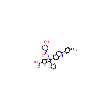 Cc1ccc(-c2ccc3cc(-c4c(-c5ccccc5)c5sc(C(=O)O)cc5n4CC(=O)N4CCC(O)CC4)ccc3n2)cc1